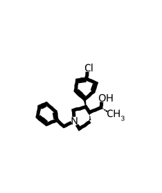 C[C@@H](O)[C@@H]1CCN(Cc2ccccc2)C[C@H]1c1ccc(Cl)cc1